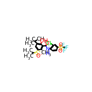 Cc1c([S+]([O-])C(C)C)cc(C(C)(C)C)c(O)c1C(=O)Nc1ccc(S(=O)(=O)C(F)(F)F)cc1Cl